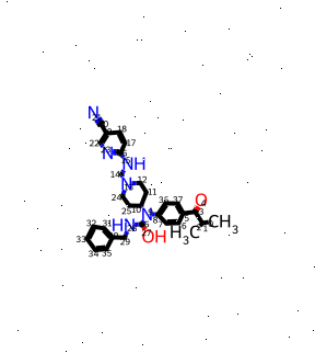 CC(C)C(=O)c1ccc(N(C2CCN(CNc3ccc(C#N)cn3)CC2)C(O)NCc2ccccc2)cc1